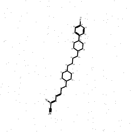 N#CC(F)=CC=CCCC1CCC(CCCCC2CCC(c3ccc(F)cc3)CC2)CC1